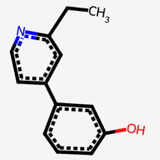 CCc1cc(-c2cccc(O)c2)ccn1